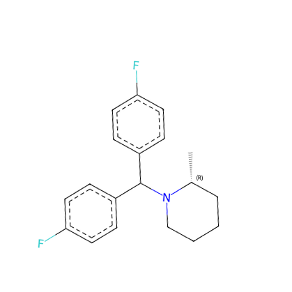 C[C@@H]1CCCCN1C(c1ccc(F)cc1)c1ccc(F)cc1